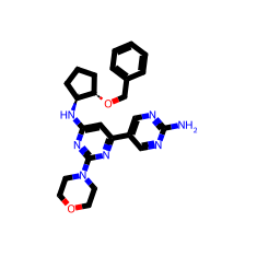 Nc1ncc(-c2cc(N[C@H]3CCC[C@@H]3OCc3ccccc3)nc(N3CCOCC3)n2)cn1